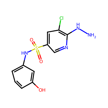 NNc1ncc(S(=O)(=O)Nc2cccc(O)c2)cc1Cl